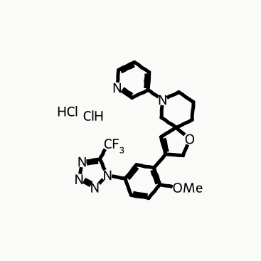 COc1ccc(-n2nnnc2C(F)(F)F)cc1C1=CC2(CCCN(c3cccnc3)C2)OC1.Cl.Cl